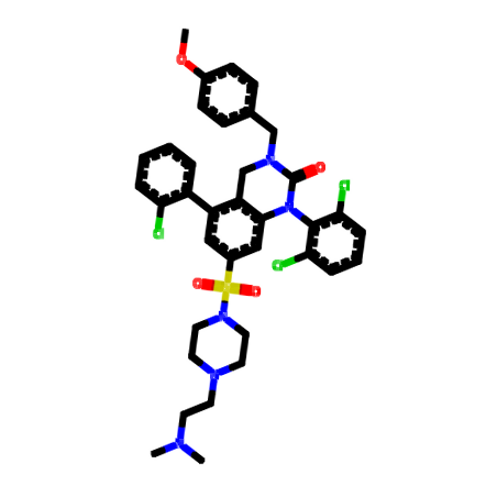 COc1ccc(CN2Cc3c(-c4ccccc4Cl)cc(S(=O)(=O)N4CCN(CCN(C)C)CC4)cc3N(c3c(Cl)cccc3Cl)C2=O)cc1